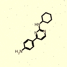 Nc1ccc(-c2ccnc(NC3CCCCC3)n2)cc1